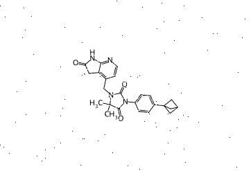 CC1(C)C(=O)N(c2ccc(C34CC(C3)C4)cc2)C(=O)N1Cc1ccnc2c1CC(=O)N2